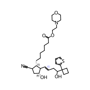 N#CC1C[C@@H](O)C(/C=C/CC(O)C2(c3cccs3)CCC2)[C@H]1CCCCCCC(=O)OCCN1CCOCC1